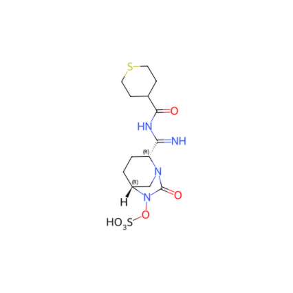 N=C(NC(=O)C1CCSCC1)[C@H]1CC[C@@H]2CN1C(=O)N2OS(=O)(=O)O